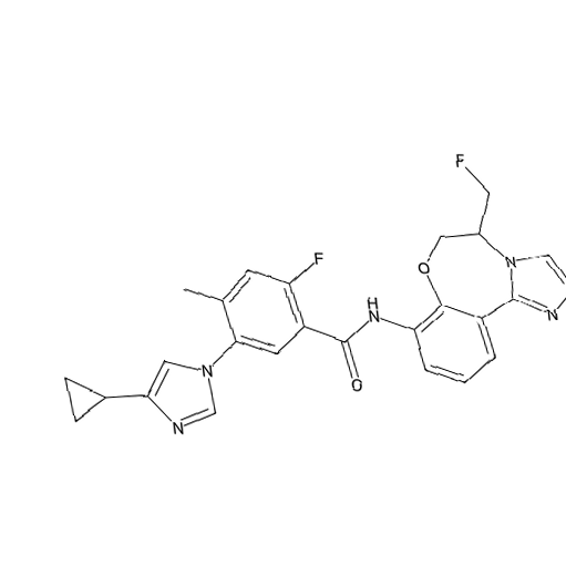 Cc1cc(F)c(C(=O)Nc2cccc3c2OCC(CF)n2cnnc2-3)cc1-n1cnc(C2CC2)c1